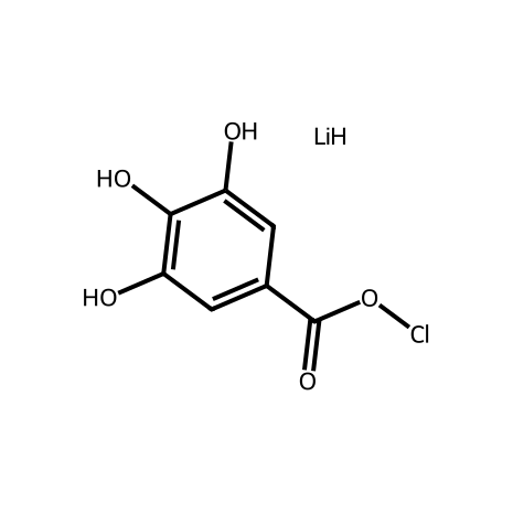 O=C(OCl)c1cc(O)c(O)c(O)c1.[LiH]